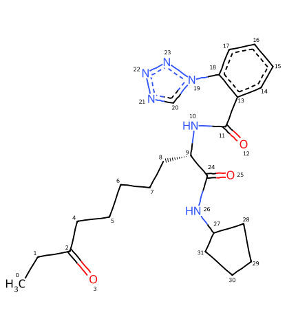 CCC(=O)CCCCC[C@H](NC(=O)c1ccccc1-n1cnnn1)C(=O)NC1CCCC1